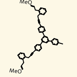 CO/C=C/Cc1ccccc1CC#Cc1ccc(-c2cc(-c3ccc(C)cc3)cc(-c3ccc(C#CCc4ccccc4C/C=C/OC)cc3)c2)cc1